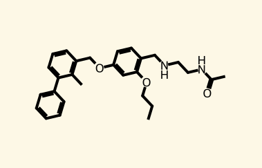 CCCOc1cc(OCc2cccc(-c3ccccc3)c2C)ccc1CNCCNC(C)=O